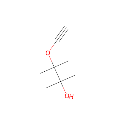 C#COC(C)(C)C(C)(C)O